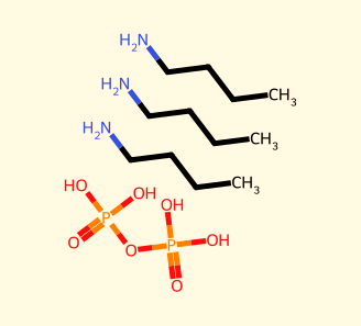 CCCCN.CCCCN.CCCCN.O=P(O)(O)OP(=O)(O)O